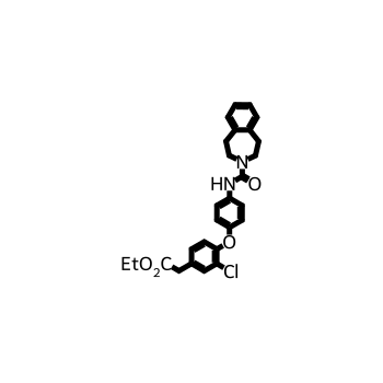 CCOC(=O)Cc1ccc(Oc2ccc(NC(=O)N3CCc4ccccc4CC3)cc2)c(Cl)c1